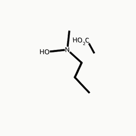 CC(=O)O.CCCN(C)O